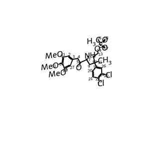 COc1cc(CC(=O)C(=N)CC(C)(CCOS(C)(=O)=O)c2ccc(Cl)c(Cl)c2)cc(OC)c1OC